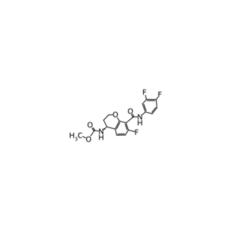 COC(=O)N[C@H]1CCOc2c1ccc(F)c2C(=O)Nc1ccc(F)c(F)c1